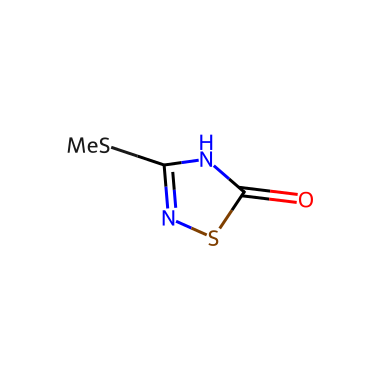 CSc1nsc(=O)[nH]1